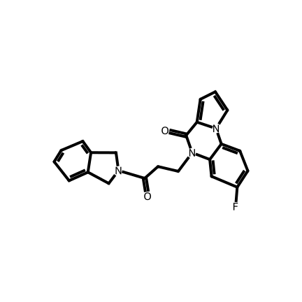 O=C(CCn1c(=O)c2cccn2c2ccc(F)cc21)N1Cc2ccccc2C1